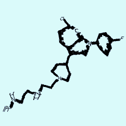 CC(C)NCCNCCN1CCC(c2cn(-c3ccc(F)cc3)c3cc(Cl)ccc23)CC1